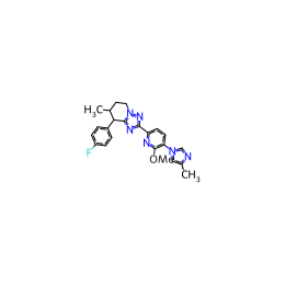 COc1nc(-c2nc3n(n2)CCC(C)C3c2ccc(F)cc2)ccc1-n1cnc(C)c1